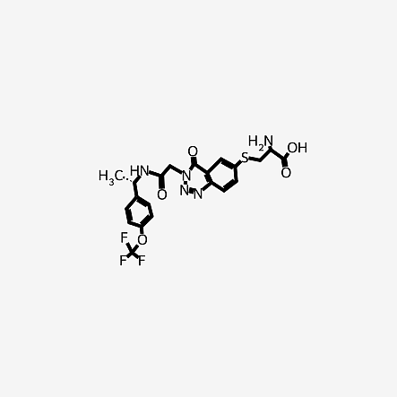 C[C@H](NC(=O)Cn1nnc2ccc(SCC(N)C(=O)O)cc2c1=O)c1ccc(OC(F)(F)F)cc1